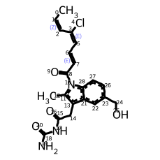 C\C=C/C(Cl)=C\C=C\C(=O)n1c(C)c(CC(=O)NC(N)=O)c2cc(CO)ccc21